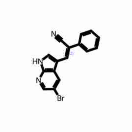 N#C/C(=C\c1c[nH]c2ncc(Br)cc12)c1ccccc1